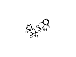 [2H]C(Cn1cccn1)(OC(=O)Nc1c(C)cccc1C)C(=O)O